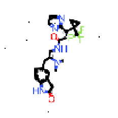 CN(C)[C@H](CNC(=O)C[C@H](c1ncccn1)C1(C(F)(F)F)CC1)Cc1ccc2c(c1)CC(=O)N2